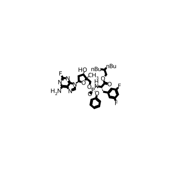 CCCCC(CCCC)COC(=O)[C@H](Cc1cc(F)cc(F)c1)N[P@](=O)(OC[C@@]1(C)O[C@@H](n2cnc3c(N)nc(F)nc32)C[C@@H]1O)Oc1ccccc1